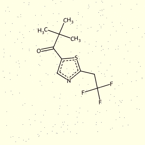 CC(C)(C)C(=O)c1cnc(CC(F)(F)F)s1